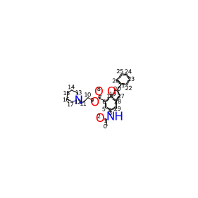 CC(=O)Nc1cc(C(=O)OCCN2CCCCC2)c2oc(-c3ccccc3)cc2c1